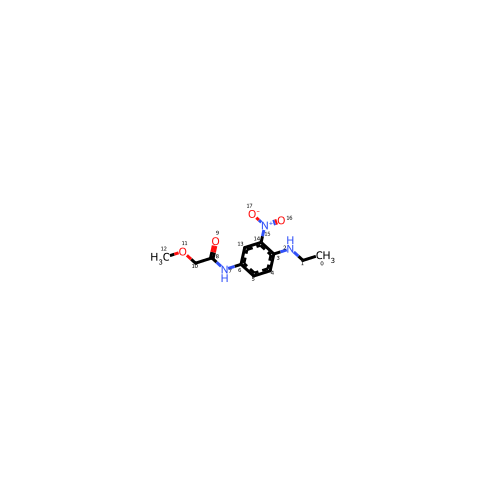 CCNc1ccc(NC(=O)COC)cc1[N+](=O)[O-]